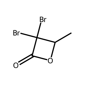 CC1OC(=O)C1(Br)Br